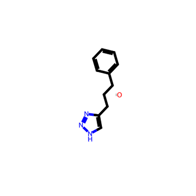 [O].c1ccc(CCCc2c[nH]nn2)cc1